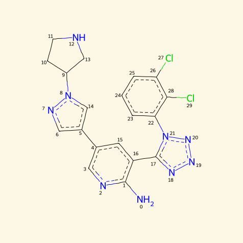 Nc1ncc(-c2cnn(C3CCNC3)c2)cc1-c1nnnn1-c1cccc(Cl)c1Cl